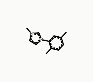 Cc1ccc(C)c(-n2cc[n+](C)c2)c1